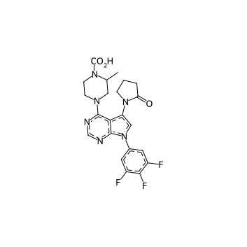 CC1CN(c2ncnc3c2c(N2CCCC2=O)cn3-c2cc(F)c(F)c(F)c2)CCN1C(=O)O